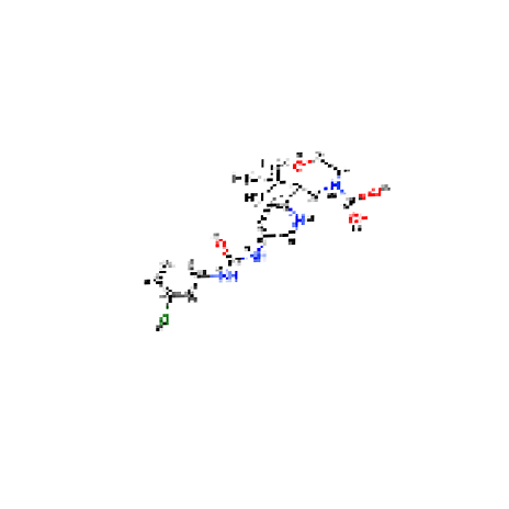 CC(C)(C)C1(c2ccc(NC(=O)Nc3cccc(Cl)c3)cn2)CN(C(=O)O)CCO1